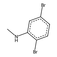 CNc1cc(Br)ccc1Br